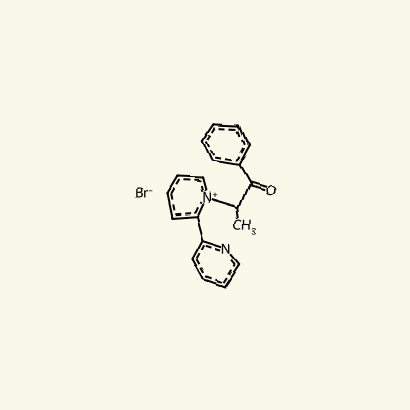 CC(C(=O)c1ccccc1)[n+]1ccccc1-c1ccccn1.[Br-]